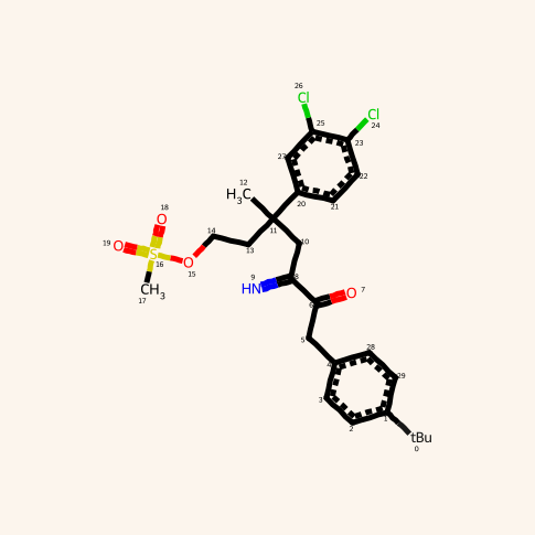 CC(C)(C)c1ccc(CC(=O)C(=N)CC(C)(CCOS(C)(=O)=O)c2ccc(Cl)c(Cl)c2)cc1